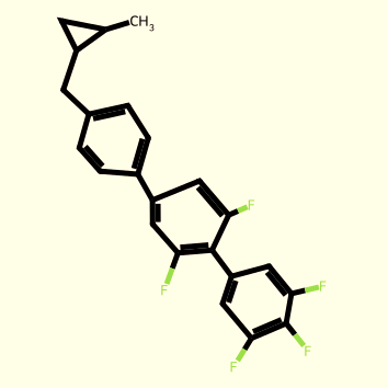 CC1CC1Cc1ccc(-c2cc(F)c(-c3cc(F)c(F)c(F)c3)c(F)c2)cc1